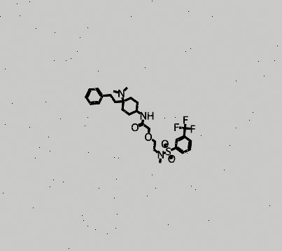 CN(C)C1(CCc2ccccc2)CCC(NC(=O)COCCN(C)S(=O)(=O)c2cccc(C(F)(F)F)c2)CC1